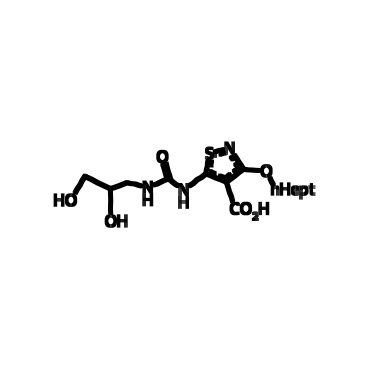 CCCCCCCOc1nsc(NC(=O)NCC(O)CO)c1C(=O)O